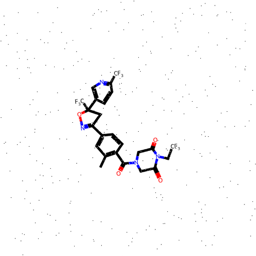 Cc1cc(C2=NOC(c3ccc(C(F)(F)F)nc3)(C(F)(F)F)C2)ccc1C(=O)N1CC(=O)N(CC(F)(F)F)C(=O)C1